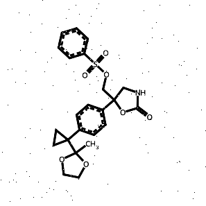 CC1(C2(c3ccc(C4(COS(=O)(=O)c5ccccc5)CNC(=O)O4)cc3)CC2)OCCO1